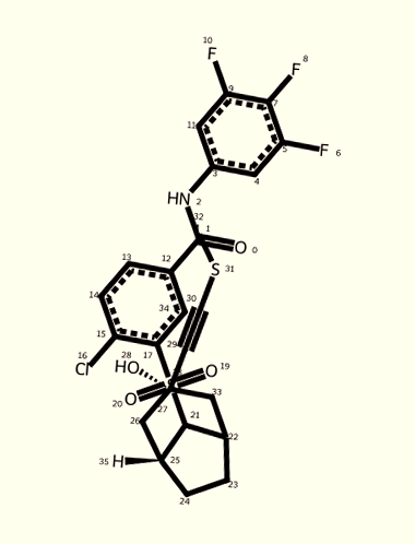 O=C(Nc1cc(F)c(F)c(F)c1)c1ccc(Cl)c(S(=O)(=O)C2C3CC[C@@H]2C[C@@](O)(C#CSI)C3)c1